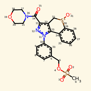 CS(=O)(=O)OCc1cccc(-n2nc(C(=O)N3CCOCC3)c3c2-c2ccccc2[S+]([O-])C3)c1